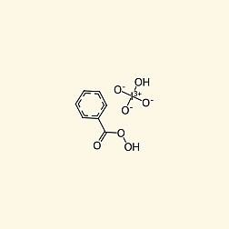 O=C(OO)c1ccccc1.[O-][I+3]([O-])([O-])O